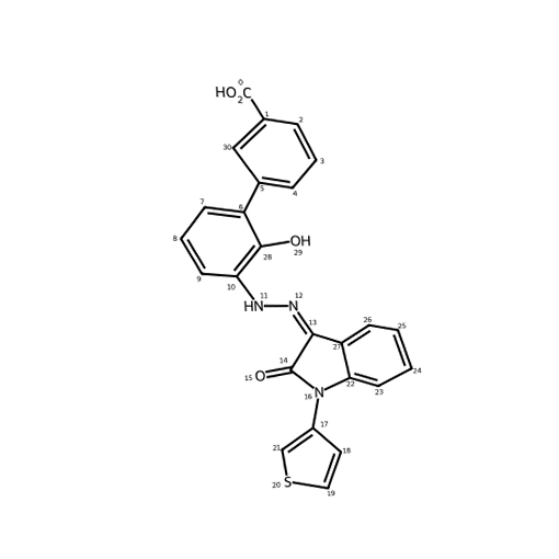 O=C(O)c1cccc(-c2cccc(NN=C3C(=O)N(c4ccsc4)c4ccccc43)c2O)c1